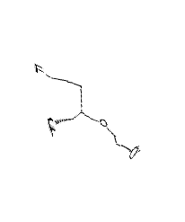 [O]COC(F)CF